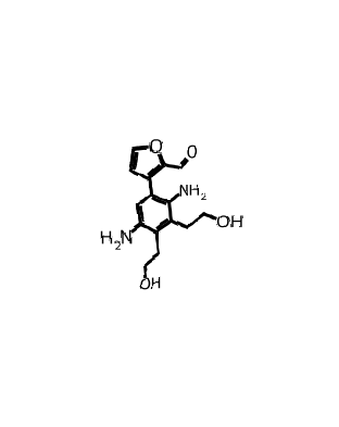 Nc1cc(-c2ccoc2C=O)c(N)c(CCO)c1CCO